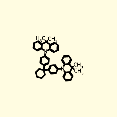 CC1(C)c2ccccc2N(c2ccc(C3(c4ccc(N5c6ccccc6C(C)(C)c6ccccc65)cc4)CCCCC3)cc2)c2ccccc21